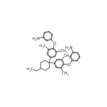 CCC1CCC(c2cc(C)c(Oc3cccc(N)c3)c(C)c2)(c2cc(C)c(Oc3cccc(N)c3)c(C)c2)CC1